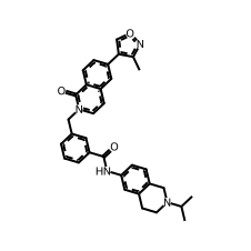 Cc1nocc1-c1ccc2c(=O)n(Cc3cccc(C(=O)Nc4ccc5c(c4)CCN(C(C)C)C5)c3)ccc2c1